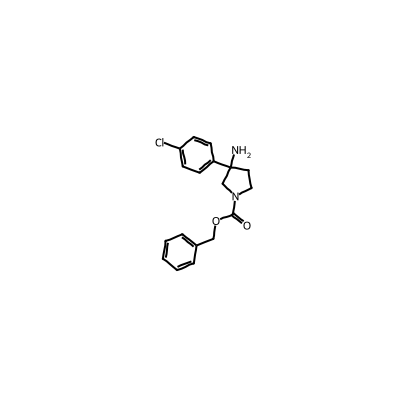 NC1(c2ccc(Cl)cc2)CCN(C(=O)OCc2ccccc2)C1